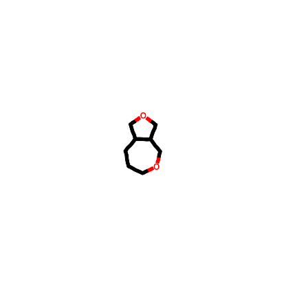 C1COCC2COCC2C1